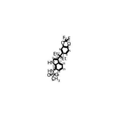 CCC(CC)(c1ccc2c(c1)OC(F)(F)O2)c1c[nH]c2c(NS(C)(=O)=O)cccc12